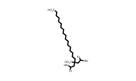 CCCCC(CC)CC(CCCCCCCCCCCCCCCCCC(=O)O)(CC(CC)CCCC)C(=O)O